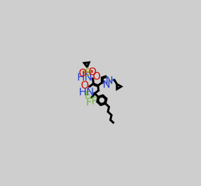 CCCCCc1ccc(C2(C(F)(F)F)CC(c3ccn(CC4CC4)n3)=C(C(=O)NS(=O)(=O)C3CC3)C(=O)N2)cc1